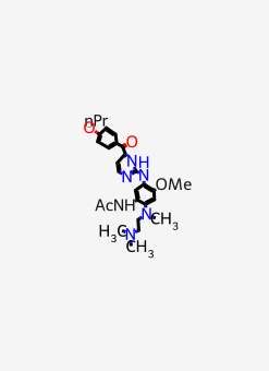 CCCOc1ccc(C(=O)c2ccnc(Nc3cc(NC(C)=O)c(N(C)CCN(C)C)cc3OC)n2)cc1